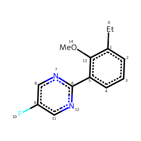 CCc1cccc(-c2ncc(F)cn2)c1OC